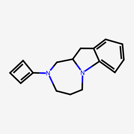 C1=CC(N2CCCN3c4ccccc4CC3C2)=C1